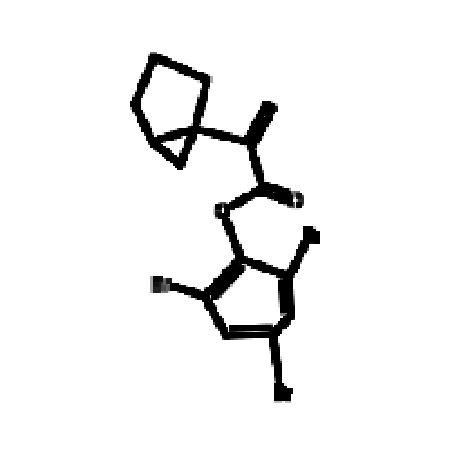 C=C(C(=O)Oc1c(Br)cc(Br)cc1Br)C12CCCC1C2